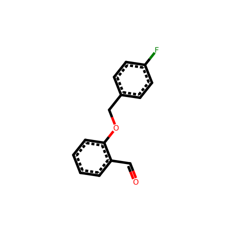 O=Cc1ccccc1OCc1ccc(F)cc1